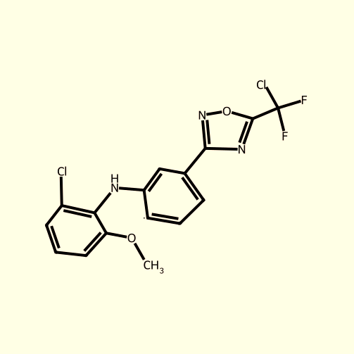 COc1cccc(Cl)c1Nc1[c]ccc(-c2noc(C(F)(F)Cl)n2)c1